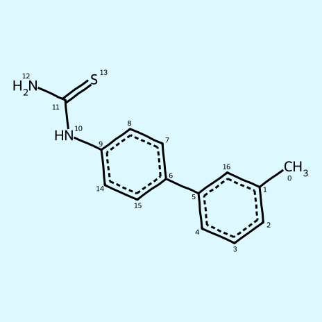 Cc1cccc(-c2ccc(NC(N)=S)cc2)c1